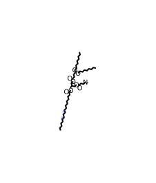 CCCCC/C=C/C/C=C/CCCCCCCC(=O)OCC(COC(=O)CCC(OCCCCCCCC)OCCCCCCCC)COC(=O)CCN(C)C